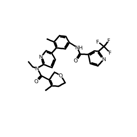 CCN(C(=O)C1=C(C)CCOC1)c1ccc(-c2cc(NC(=O)c3ccnc(C(F)(F)F)c3)ccc2C)cn1